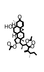 C=C(C(=O)[C@H](OC(C)=O)[C@@H](C)[C@H]1[C@@H](OC(C)=O)C[C@@]2(C)[C@@H]3C[C@@H](O)[C@H]4[C@H](C)C(=O)C=C[C@@]45C[C@@]35CC[C@]12C)[C@@H](C)CC